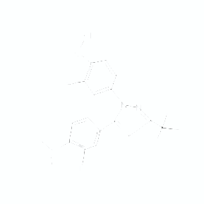 COc1ccc(-n2nc(C(F)(F)F)cc2-c2ccc([S+](C)[O-])c(F)c2)cc1Cl